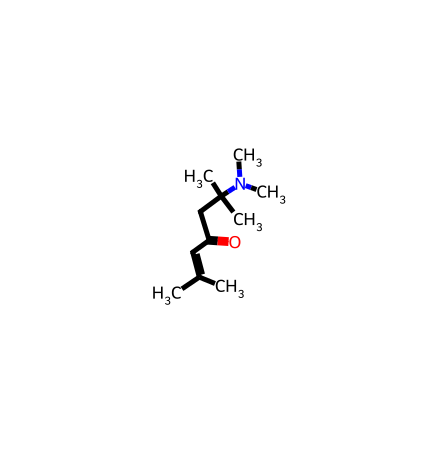 CC(C)=CC(=O)CC(C)(C)N(C)C